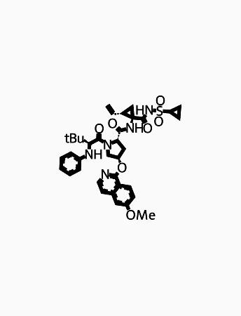 C=C[C@@H]1C[C@]1(NC(=O)[C@@H]1C[C@@H](Oc2nccc3cc(OC)ccc23)CN1C(=O)[C@@H](Nc1ccccc1)C(C)(C)C)C(=O)NS(=O)(=O)C1CC1